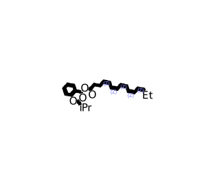 CC\C=C/C=C\C=C/C=C\C=C/CCC(=O)OC(OC(=O)C(C)C)c1ccccc1